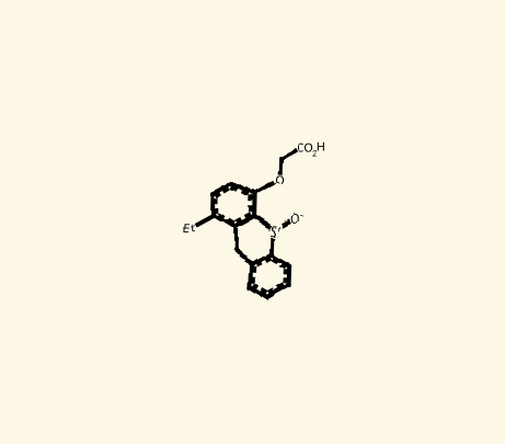 CCc1ccc(OCC(=O)O)c2c1Cc1ccccc1[S+]2[O-]